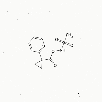 CS(=O)(=O)NOC(=O)C1(c2ccccc2)CC1